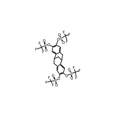 O=S(=O)(Oc1cc2c(cc1OS(=O)(=O)C(F)(F)F)C1Cc3cc(OS(=O)(=O)C(F)(F)F)c(OS(=O)(=O)C(F)(F)F)cc3C(C2)C1)C(F)(F)F